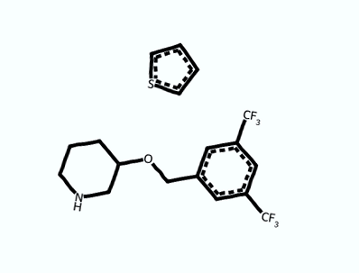 FC(F)(F)c1cc(COC2CCCNC2)cc(C(F)(F)F)c1.c1ccsc1